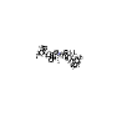 CC1CC(c2cc(F)cc3ccoc23)CCN1OC(=O)/C=C/C(=O)ON1CCC(c2cc(F)cc3ccoc23)CC1C